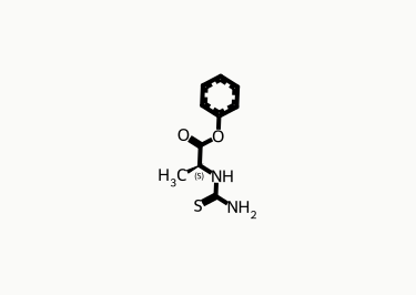 C[C@H](NC(N)=S)C(=O)Oc1ccccc1